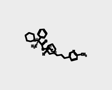 Cc1ccc(CCC[N+]23CCC(CC2)[C@@H](OC(=O)[C@](C)(c2ccccc2)N2CCCCC2)C3)cn1